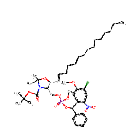 CCCCCCCCCCCCC/C=C/[C@H]1OC(C)(C)N(C(=O)OC(C)(C)C)[C@H]1COP(=O)(OC)OC(c1ccccc1)c1cc(OC)c(Br)cc1[N+](=O)[O-]